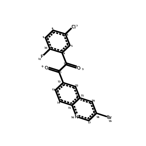 O=C(C(=O)c1cc(Cl)ccc1F)c1ccc2ncc(Br)cc2c1